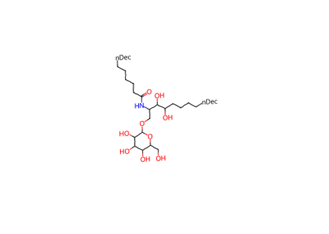 CCCCCCCCCCCCCCCC(=O)NC(COC1OC(CO)C(O)C(O)C1O)C(O)C(O)CCCCCCCCCCCCCC